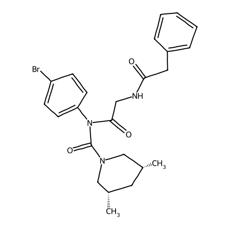 C[C@@H]1C[C@H](C)CN(C(=O)N(C(=O)CNC(=O)Cc2ccccc2)c2ccc(Br)cc2)C1